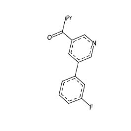 CC(C)C(=O)c1cncc(-c2cccc(F)c2)c1